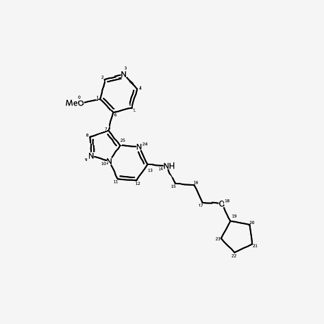 COc1cnccc1-c1cnn2ccc(NCCCOC3CCCC3)nc12